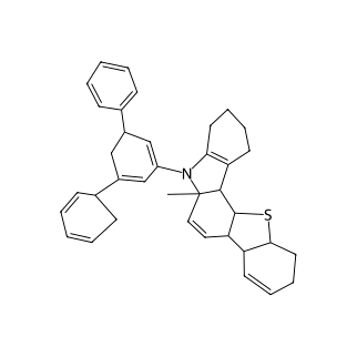 CC12C=CC3C4C=CCCC4SC3C1C1=C(CCCC1)N2C1=CC(c2ccccc2)CC(C2C=CC=CC2)=C1